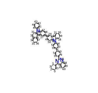 C1=CCCC(c2nc(C3=CCC(c4ccc(N5c6ccccc6C6C=C(C7=CC8C9=C(CCc%10ccccc%109)N(c9ccccc9)C8C=C7)C=CC65)cc4)C=C3)nc3ccccc23)=C1